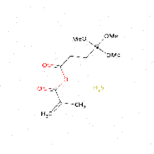 C=C(C)C(=O)OC(=O)CC[Si](OC)(OC)OC.S